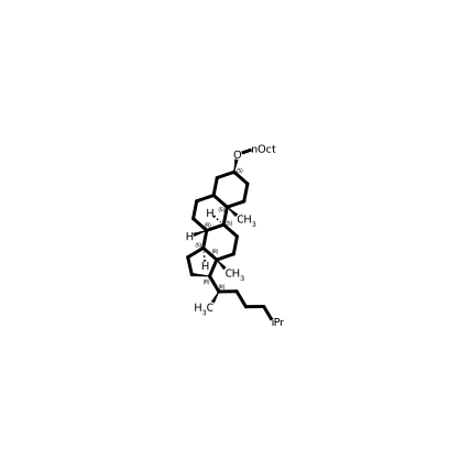 CCCCCCCCO[C@H]1CC[C@@]2(C)C(CC[C@H]3[C@@H]4CC[C@H]([C@H](C)CCCC(C)C)[C@@]4(C)CC[C@@H]32)C1